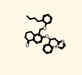 CCCCc1ccccc1OCc1c(OC(Cc2ncc[nH]2)c2ccccc2)ccc2c1CCCC2=O